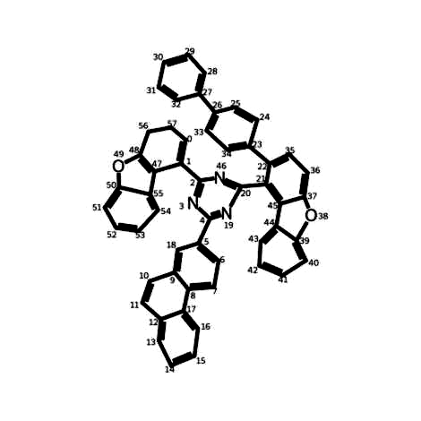 C1=C(c2nc(-c3ccc4c(ccc5ccccc54)c3)nc(-c3c(-c4ccc(-c5ccccc5)cc4)ccc4oc5ccccc5c34)n2)c2c(oc3ccccc23)CC1